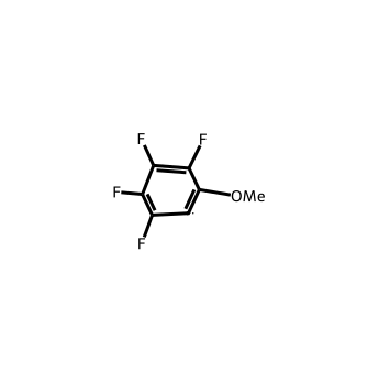 COc1[c]c(F)c(F)c(F)c1F